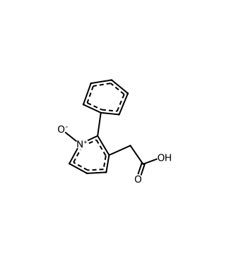 O=C(O)Cc1ccc[n+]([O-])c1-c1ccccc1